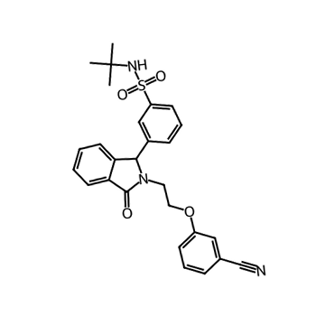 CC(C)(C)NS(=O)(=O)c1cccc(C2c3ccccc3C(=O)N2CCOc2cccc(C#N)c2)c1